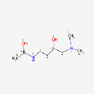 CB(O)NCCC(O)CN(C)C